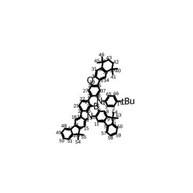 CC(C)(C)c1ccc(N2B3c4cc5c(cc4-n4c6cc7c(cc6c6ccc(c3c64)-c3cc4oc6cc8c(cc6c4cc32)C(C)(C)CCC8(C)C)-c2ccccc2C7(C)C)-c2ccccc2C5(C)C)cc1